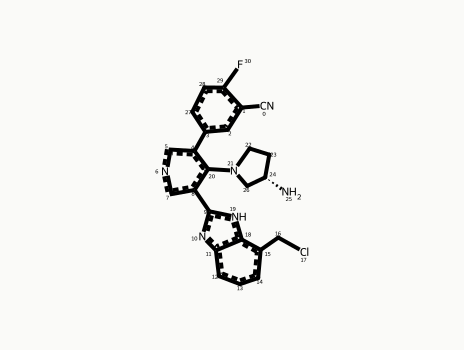 N#Cc1cc(-c2cncc(-c3nc4cccc(CCl)c4[nH]3)c2N2CC[C@H](N)C2)ccc1F